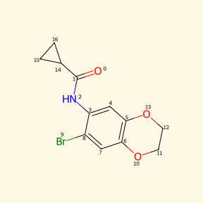 O=C(Nc1cc2c(cc1Br)OCCO2)C1CC1